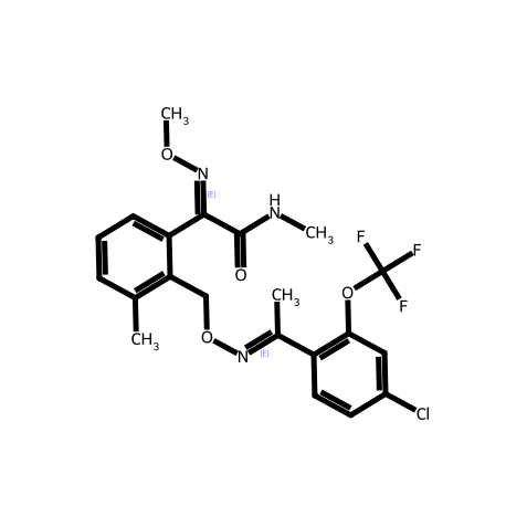 CNC(=O)/C(=N/OC)c1cccc(C)c1CO/N=C(\C)c1ccc(Cl)cc1OC(F)(F)F